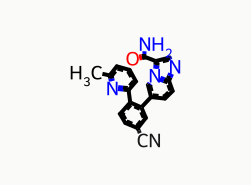 Cc1cccc(-c2ccc(C#N)cc2-c2ccc3ncc(C(N)=O)n3c2)n1